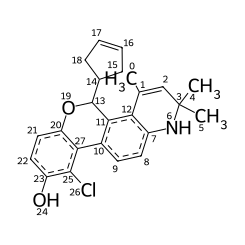 CC1=CC(C)(C)Nc2ccc3c(c21)C(C1CC=CC1)Oc1ccc(O)c(Cl)c1-3